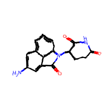 Nc1cc2c3c(cccc3c1)N(C1CCC(=O)NC1=O)C2=O